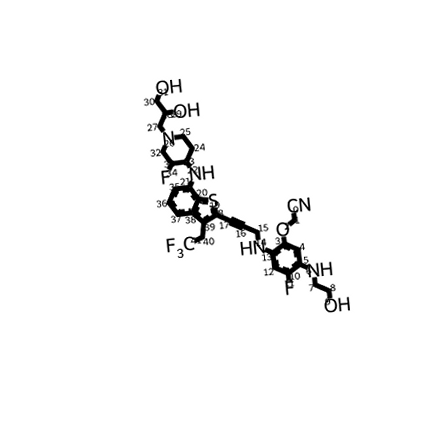 N#CCOc1cc(NCCO)c(F)cc1NCC#Cc1sc2c(NC3CCN(CC(O)CO)CC3F)cccc2c1CC(F)(F)F